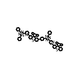 c1ccc(-c2nc(-c3ccc(-c4ccc5c(c4)C4(c6cc(-c7cccc(-c8nc(-c9ccccc9)nc(-c9ccccc9)n8)n7)ccc6S5)c5ccccc5-c5ccccc54)cc3)nc(-c3ccc(-c4ccc5c(c4)C4(c6ccccc6S5)c5ccccc5-c5ccccc54)nc3)n2)cc1